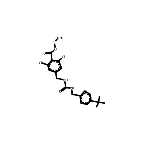 CC(C)(C)c1ccc(CNC(=S)NCc2cc(Cl)c(C(=O)OSN)c(Cl)c2)cc1